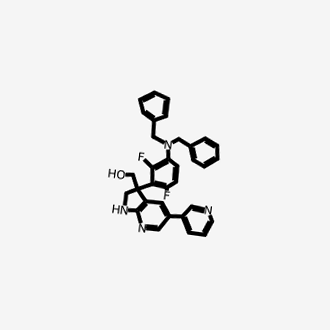 OCC1(c2c(F)ccc(N(Cc3ccccc3)Cc3ccccc3)c2F)CNc2ncc(-c3cccnc3)cc21